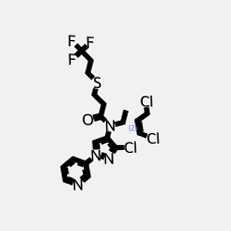 CCN(C(=O)CCSCCC(F)(F)F)c1cn(-c2cccnc2)nc1Cl.Cl/C=C\CCl